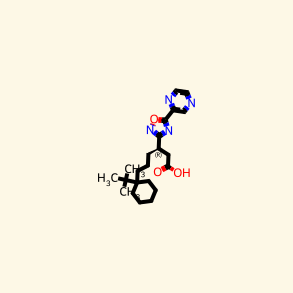 CC(C)(C)C1(CCC[C@H](CC(=O)O)c2noc(-c3cnccn3)n2)CCCCC1